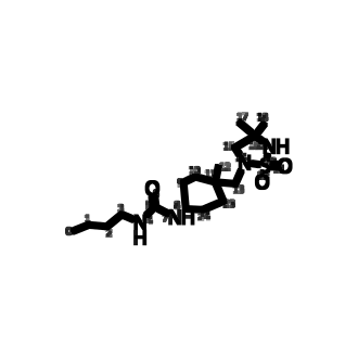 CCCCNC(=O)NC1CCC(C)(CN2CC(C)(C)NS2(=O)=O)CC1